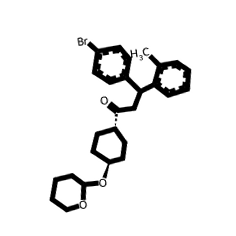 Cc1ccccc1C(CC(=O)[C@H]1CC[C@H](OC2CCCCO2)CC1)c1ccc(Br)cc1